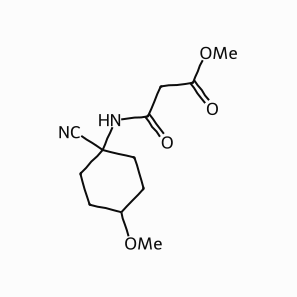 COC(=O)CC(=O)NC1(C#N)CCC(OC)CC1